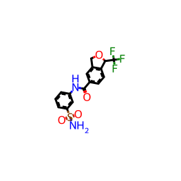 NS(=O)(=O)c1cccc(NC(=O)c2ccc3c(c2)COC3C(F)(F)F)c1